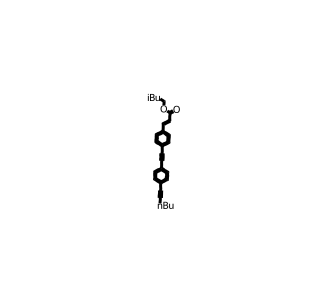 CCCCC#Cc1ccc(C#Cc2ccc(C=CC(=O)OCC(C)CC)cc2)cc1